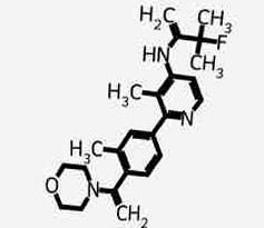 C=C(c1ccc(-c2nccc(NC(=C)C(C)(C)F)c2C)cc1C)N1CCOCC1